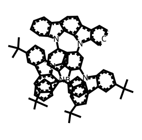 CC(C)(C)c1ccc2c(c1)c1cc(C(C)(C)C)cc3c1n2-c1cc(-n2c4ccccc4c4ccc5c6ccccc6n(-c6ccc(N(c7ccccc7)c7ccccc7)cc6)c5c42)cc2c1B3c1cc(C(C)(C)C)cc3c4cc(C(C)(C)C)ccc4n-2c13